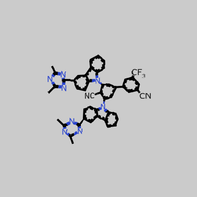 Cc1nc(C)nc(-c2ccc3c(c2)c2ccccc2n3-c2cc(-c3cc(C#N)cc(C(F)(F)F)c3)cc(-n3c4ccccc4c4cc(-c5nc(C)nc(C)n5)ccc43)c2C#N)n1